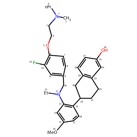 CCCN(C)CCOc1ccc(CN(CC)c2cc(OC)ccc2C2CCc3cc(O)ccc3C2)cc1F